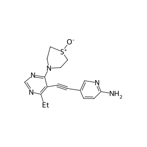 CCc1ncnc(N2CC[S+]([O-])CC2)c1C#Cc1ccc(N)nc1